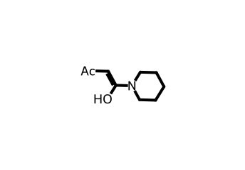 CC(=O)/C=C(\O)N1CCCCC1